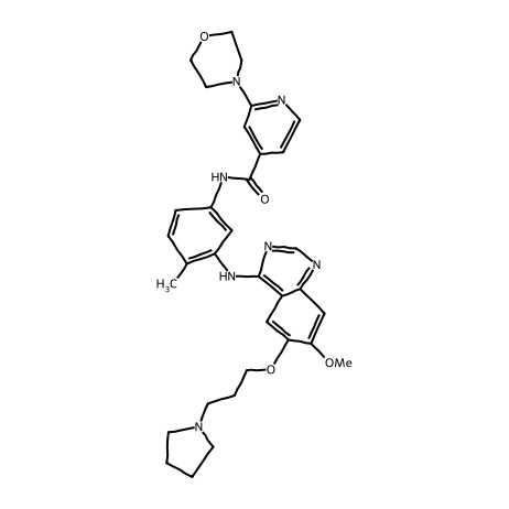 COc1cc2ncnc(Nc3cc(NC(=O)c4ccnc(N5CCOCC5)c4)ccc3C)c2cc1OCCCN1CCCC1